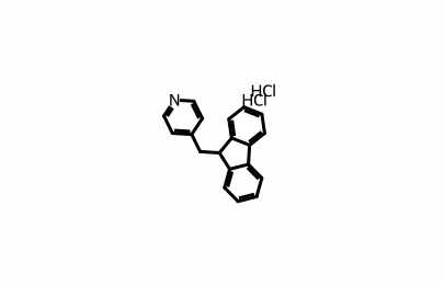 Cl.Cl.c1ccc2c(c1)-c1ccccc1C2Cc1ccncc1